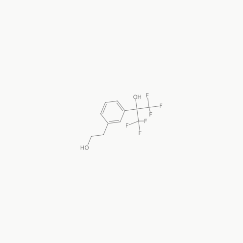 OCCc1cccc(C(O)(C(F)(F)F)C(F)(F)F)c1